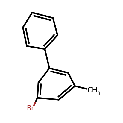 Cc1cc(Br)cc(-c2ccccc2)c1